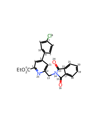 CCOC(=O)c1cc(-c2ccc(Cl)cc2)cc(CN2C(=O)c3ccccc3C2=O)n1